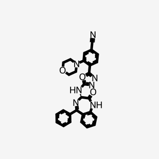 N#Cc1ccc(-c2nnc(N[C@H]3N=C(c4ccccc4)c4ccccc4NC3=O)o2)c(N2CCOCC2)c1